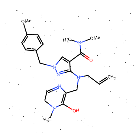 C=CCN(CC1=C(O)N(C)CC=N1)c1nn(Cc2ccc(OC)cc2)cc1C(=O)N(C)OC